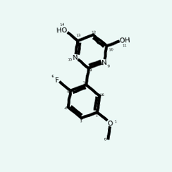 COc1ccc(F)c(-c2nc(O)cc(O)n2)c1